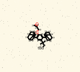 CC(C)(C)CC(C)(C)c1cc(C23CC4CC(CC(C4)C2)C3)c(OCC2CO2)cc1C12CC3CC(CC(C3)C1)C2